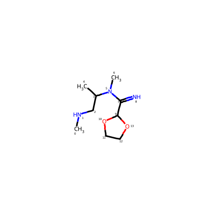 CNCC(C)N(C)C(=N)C1OCCO1